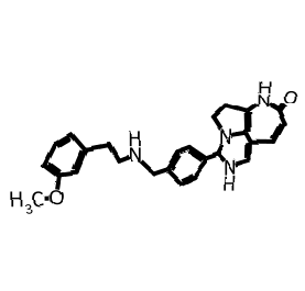 COc1cccc(CCNCc2ccc(C3NC=C4C=CC(=O)NC5=C4N3CC5)cc2)c1